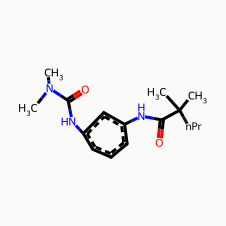 CCCC(C)(C)C(=O)Nc1cccc(NC(=O)N(C)C)c1